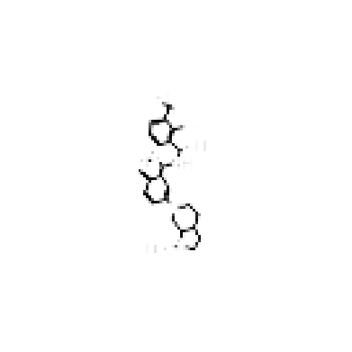 Cc1c([C@@H](C)Nc2nncc3ccc(N4CCC5CCN(C)C5C4)cc23)cccc1C(F)(F)F